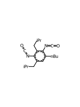 CCCCc1cc(CC(C)C)c(N=C=O)c(CC(C)C)c1N=C=O